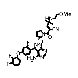 COCCNC(C)(C)C=C(C#N)C(=O)N1CCC[C@H]1Cn1nc(-c2ccc(Oc3cccc(F)c3F)cc2F)c2c(N)ncnc21